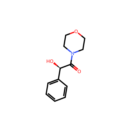 O=C([C@H](O)c1ccccc1)N1CCOCC1